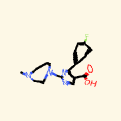 CN1CCN(c2ncc(C(=O)O)c(-c3ccc(F)cc3)n2)CC1